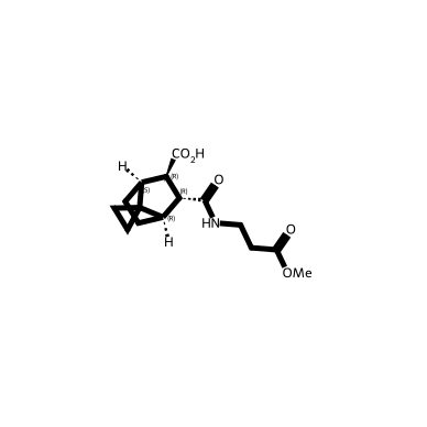 COC(=O)CCNC(=O)[C@H]1[C@H](C(=O)O)[C@@H]2CC[C@H]1C21CC1